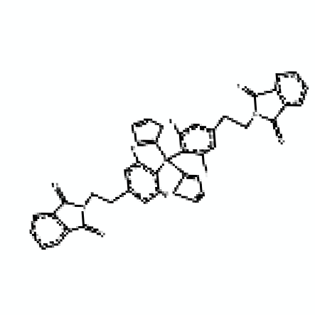 O=C1c2ccccc2C(=O)N1CCc1cc(F)[c]([Ti]([C]2=CC=CC2)([C]2=CC=CC2)[c]2c(F)cc(CCN3C(=O)c4ccccc4C3=O)cc2F)c(F)c1